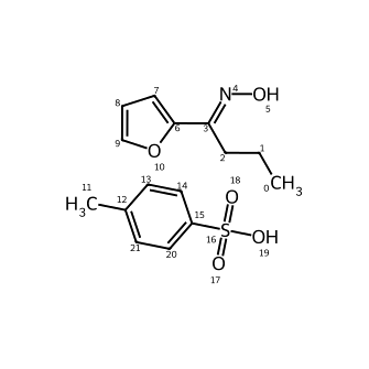 CCCC(=NO)c1ccco1.Cc1ccc(S(=O)(=O)O)cc1